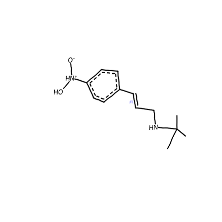 CC(C)(C)NC/C=C/c1ccc([NH+]([O-])O)cc1